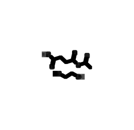 CC(=O)OC(=O)CCC(=O)O.OCCO